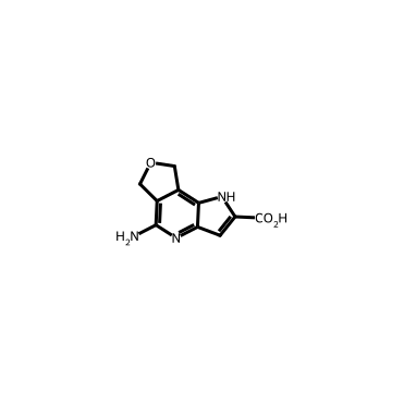 Nc1nc2cc(C(=O)O)[nH]c2c2c1COC2